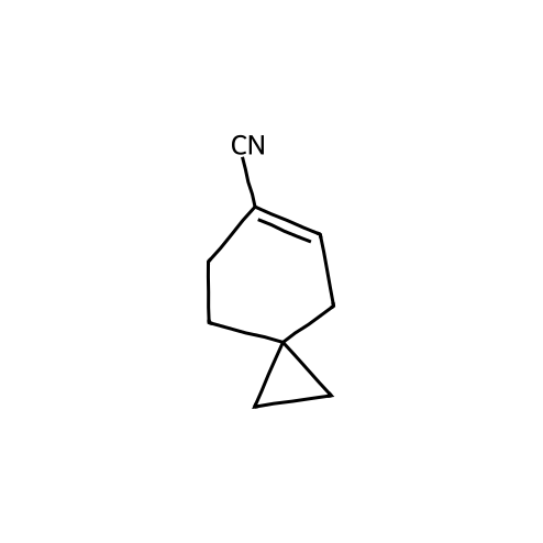 N#CC1=CCC2(CC1)CC2